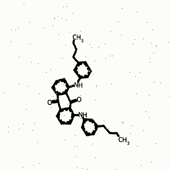 CCCCc1cccc(Nc2cccc3c2C(=O)c2c(Nc4cccc(CCCC)c4)cccc2C3=O)c1